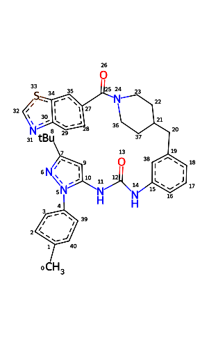 Cc1ccc(-n2nc(C(C)(C)C)cc2NC(=O)Nc2cccc(CC3CCN(C(=O)c4ccc5ncsc5c4)CC3)c2)cc1